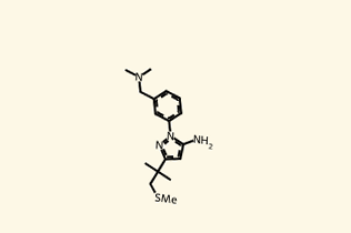 CSCC(C)(C)c1cc(N)n(-c2cccc(CN(C)C)c2)n1